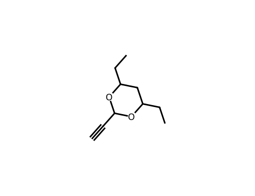 C#CC1OC(CC)CC(CC)O1